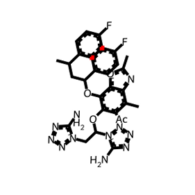 CC(=O)c1c(OC(Cn2nnnc2N)n2nnnc2N)c(OC(CC(C)c2ccc(F)cc2)c2ccc(F)cc2)c2oc(C)nc2c1C